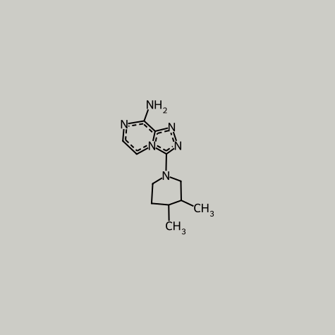 CC1CCN(c2nnc3c(N)nccn23)CC1C